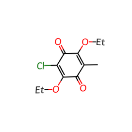 CCOC1=C(C)C(=O)C(OCC)=C(Cl)C1=O